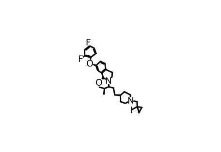 CC(C)C(CCC1CCN(CC2(I)CC2)CC1)N1CCc2ccc(Oc3ccc(F)cc3F)cc2C1=O